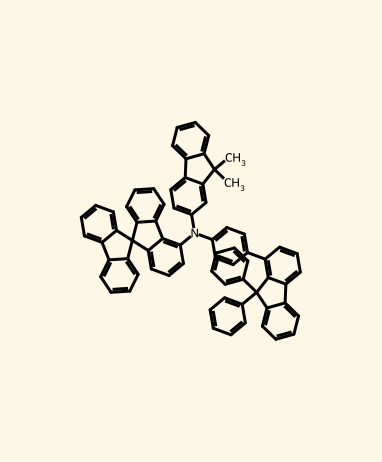 CC1(C)c2ccccc2-c2ccc(N(c3ccc(-c4cccc5c4C(c4ccccc4)(c4ccccc4)c4ccccc4-5)cc3)c3cccc4c3-c3ccccc3C43c4ccccc4-c4ccccc43)cc21